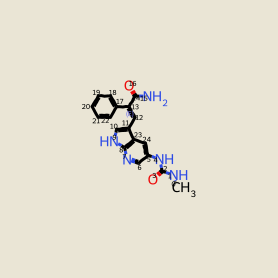 CNC(=O)Nc1cnc2[nH]cc(/C=C(/C(N)=O)c3ccccc3)c2c1